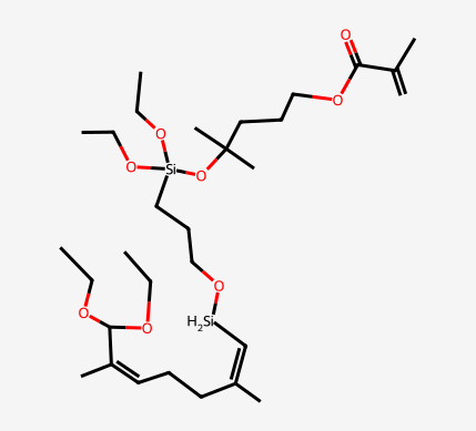 C=C(C)C(=O)OCCCC(C)(C)O[Si](CCCO[SiH2]/C=C(/C)CCC=C(C)C(OCC)OCC)(OCC)OCC